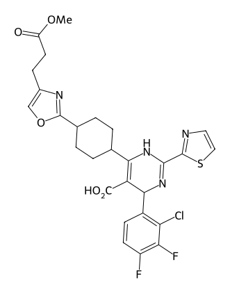 COC(=O)CCc1coc(C2CCC(C3=C(C(=O)O)C(c4ccc(F)c(F)c4Cl)N=C(c4nccs4)N3)CC2)n1